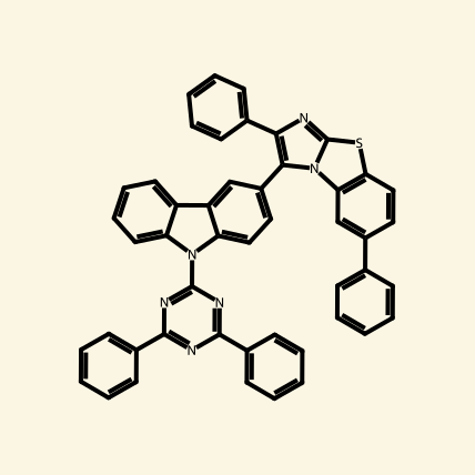 c1ccc(-c2ccc3sc4nc(-c5ccccc5)c(-c5ccc6c(c5)c5ccccc5n6-c5nc(-c6ccccc6)nc(-c6ccccc6)n5)n4c3c2)cc1